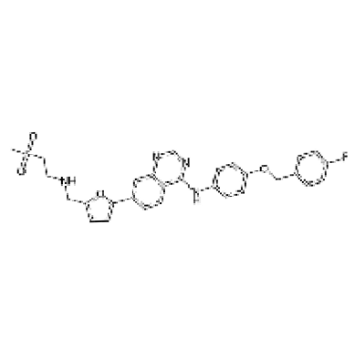 CS(=O)(=O)CCNCc1ccc(-c2ccc3c(Nc4ccc(OCc5ccc(F)cc5)cc4)ncnc3c2)o1